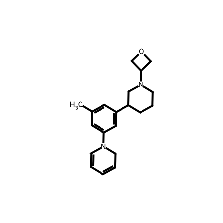 Cc1cc(C2CCCN(C3COC3)C2)cc(N2[C]=CC=CC2)c1